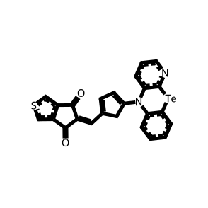 O=C1C(=CC2=CC=C(N3c4ccccc4[Te]c4ncccc43)C2)C(=O)c2cscc21